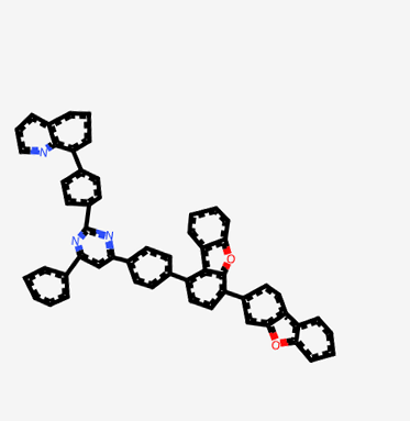 c1ccc(-c2cc(-c3ccc(-c4ccc(-c5ccc6c(c5)oc5ccccc56)c5oc6ccccc6c45)cc3)nc(-c3ccc(-c4cccc5cccnc45)cc3)n2)cc1